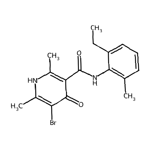 CCc1cccc(C)c1NC(=O)c1c(C)[nH]c(C)c(Br)c1=O